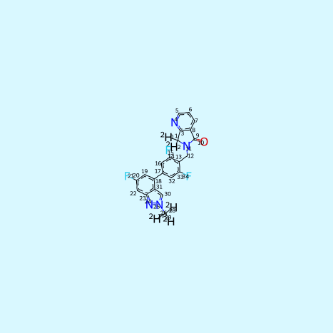 [2H]C1([2H])c2ncccc2C(=O)N1Cc1c(F)cc(-c2cc(F)cc3nn(C([2H])([2H])[2H])cc23)cc1F